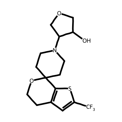 OC1COCC1N1CCC2(CC1)OCCc1cc(C(F)(F)F)sc12